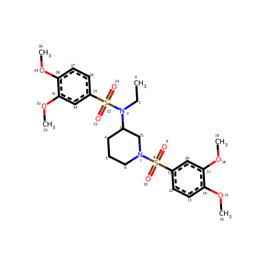 CCN(C1CCCN(S(=O)(=O)c2ccc(OC)c(OC)c2)C1)S(=O)(=O)c1ccc(OC)c(OC)c1